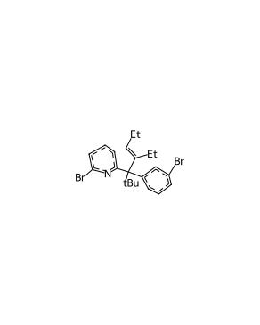 CC/C=C(\CC)C(c1cccc(Br)c1)(c1cccc(Br)n1)C(C)(C)C